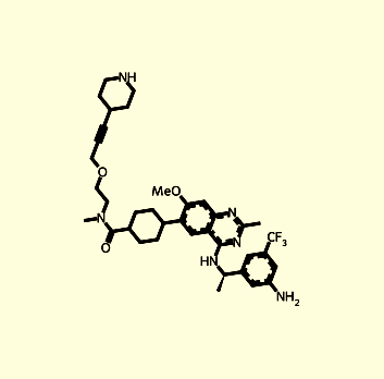 COc1cc2nc(C)nc(N[C@H](C)c3cc(N)cc(C(F)(F)F)c3)c2cc1C1CCC(C(=O)N(C)CCOCC#CC2CCNCC2)CC1